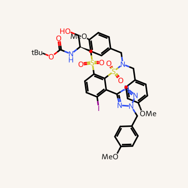 COc1ccc(CN(Cc2ccc(OC)cc2)S(=O)(=O)c2c(S(=O)(=O)C[C@H](CO)NC(=O)OC(C)(C)C)ccc(I)c2-c2nnn(Cc3ccc(OC)cc3)n2)cc1